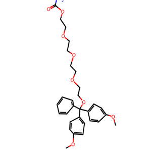 COc1ccc(C(OCCOCCOCCOCCOC(N)=O)(c2ccccc2)c2ccc(OC)cc2)cc1